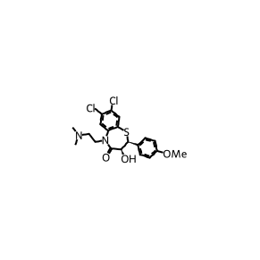 COc1ccc([C@@H]2Sc3cc(Cl)c(Cl)cc3N(CCN(C)C)C(=O)[C@@H]2O)cc1